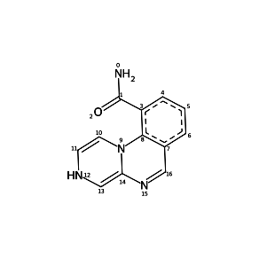 NC(=O)c1cccc2c1N1C=CNC=C1N=C2